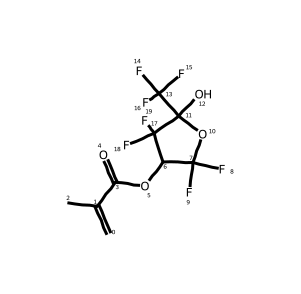 C=C(C)C(=O)OC1C(F)(F)OC(O)(C(F)(F)F)C1(F)F